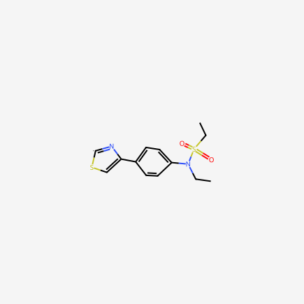 CCN(c1ccc(-c2cs[c]n2)cc1)S(=O)(=O)CC